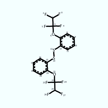 FC(F)C(F)(F)Oc1ccccc1SSc1ccccc1OC(F)(F)C(F)F